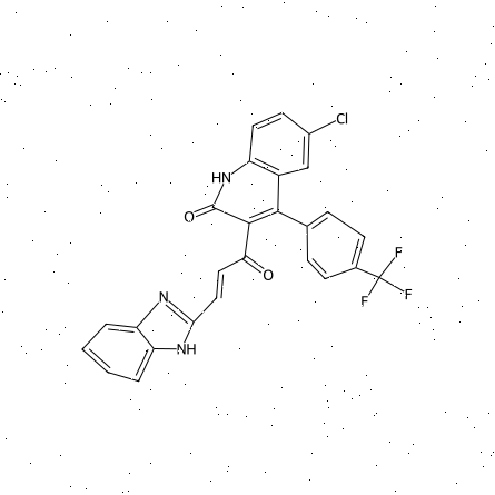 O=C(/C=C/c1nc2ccccc2[nH]1)c1c(-c2ccc(C(F)(F)F)cc2)c2cc(Cl)ccc2[nH]c1=O